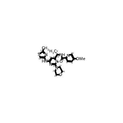 COc1ccc(C(=O)N[C@@H](C)c2cc(Nc3csc(C)n3)nc(N3CCOCC3)n2)nc1